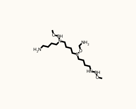 COBNCCCCB(CCCCN(BOC)CCCCN)OCN